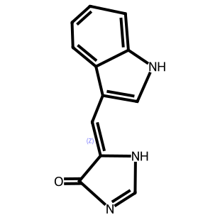 O=C1N=CN/C1=C\c1c[nH]c2ccccc12